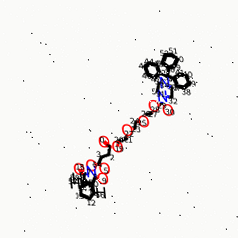 O=C(CCC(=O)ON1C(=O)C2[C@@H]3C=C[C@@H](C3)[C@@H]2C1=O)OCCOCCOCCOC(=O)N1CCN(C(c2ccccc2)(c2ccccc2)c2ccccc2)CC1